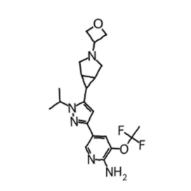 CC(C)n1nc(-c2cnc(N)c(OC(C)(F)F)c2)cc1C1C2CN(C3COC3)CC21